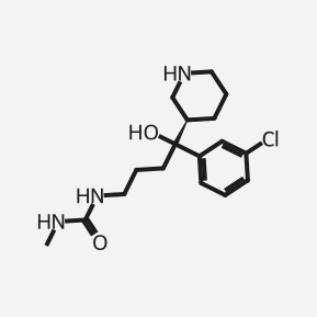 CNC(=O)NCCCC(O)(c1cccc(Cl)c1)[C@@H]1CCCNC1